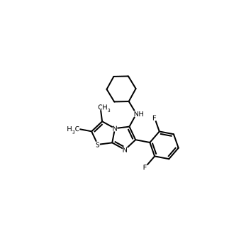 Cc1sc2nc(-c3c(F)cccc3F)c(NC3CCCCC3)n2c1C